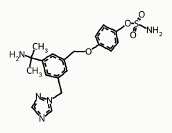 CC(C)(N)c1cc(COc2ccc(OS(N)(=O)=O)cc2)cc(Cn2cncn2)c1